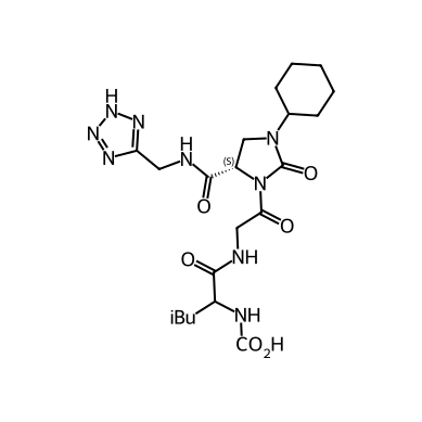 CCC(C)C(NC(=O)O)C(=O)NCC(=O)N1C(=O)N(C2CCCCC2)C[C@H]1C(=O)NCc1nn[nH]n1